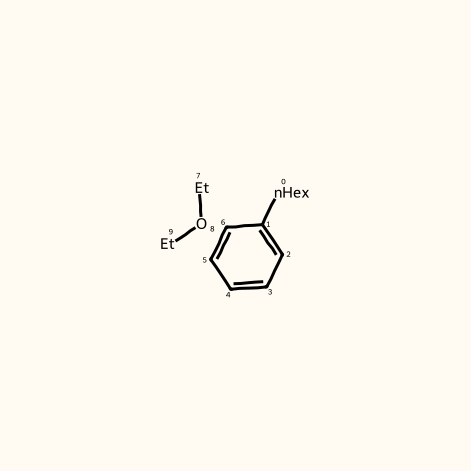 CCCCCCc1ccccc1.CCOCC